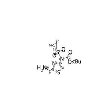 CC(C)(C)OC(=O)N(c1csc(CN)n1)S(=O)(=O)C1CC1